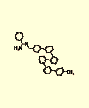 Cc1ccc(-c2cccc(-c3ccccc3-c3ccccc3-c3cccc(-c4ccc(C/N=C(\N)c5ccccc5)cc4)c3)c2)cc1